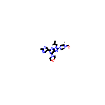 Cc1ncc(-c2nc(N3CCOCC3)c3nc(N4CCN(C=O)[C@@H](C)C4)n(CC(C)C)c3n2)cn1